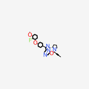 CC#CC(=O)N1CCC[C@H]1c1nc(-c2ccc(Oc3cccc(OC)c3F)cc2)c2cnccn12